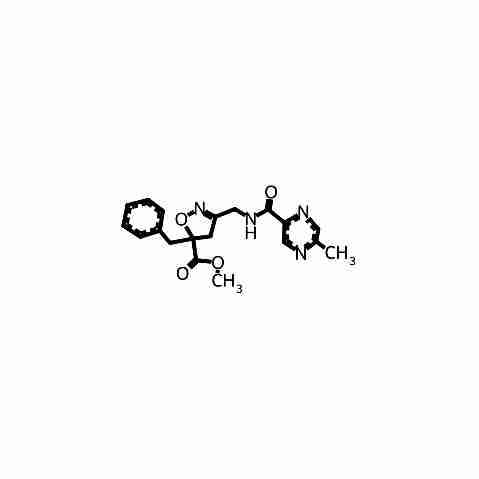 COC(=O)C1(Cc2ccccc2)CC(CNC(=O)c2cnc(C)cn2)=NO1